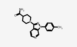 Cc1ccc(-n2nc(N3CCC(C(N)=O)CC3)c3ccncc32)cc1